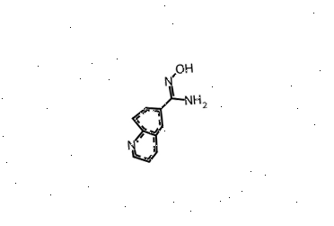 NC(=NO)c1ccc2ncccc2c1